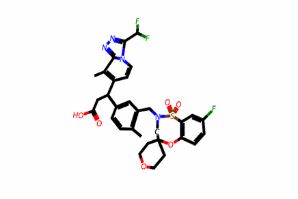 Cc1ccc(C(CC(=O)O)c2ccn3c(C(F)F)nnc3c2C)cc1CN1CC2(CCOCC2)Oc2ccc(F)cc2S1(=O)=O